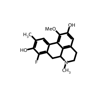 COc1c(O)cc2c3c1-c1cc(C)c(O)c(F)c1CC3N(C)CC2